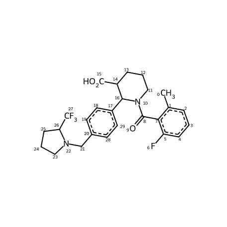 Cc1cccc(F)c1C(=O)N1CCCC(C(=O)O)C1c1ccc(CN2CCCC2C(F)(F)F)cc1